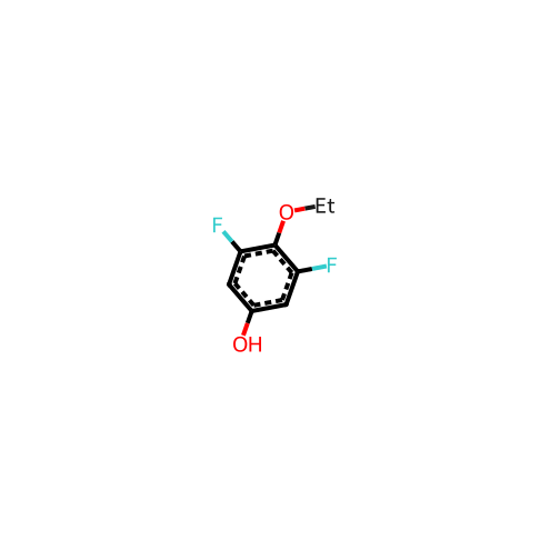 CCOc1c(F)cc(O)cc1F